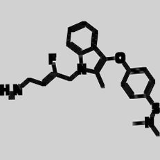 Cc1c(Oc2ccc(SN(C)C)cc2)c2ccccc2n1C/C(F)=C/CN